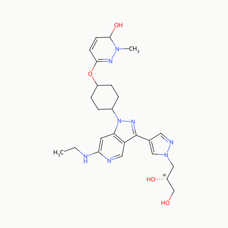 CCNc1cc2c(cn1)c(-c1cnn(C[C@@H](O)CO)c1)nn2C1CCC(OC2=NN(C)C(O)C=C2)CC1